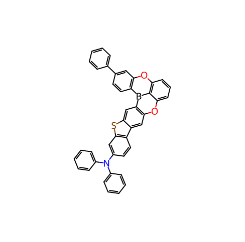 c1ccc(-c2ccc3c(c2)Oc2cccc4c2B3c2cc3sc5cc(N(c6ccccc6)c6ccccc6)ccc5c3cc2O4)cc1